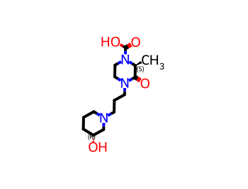 C[C@H]1C(=O)N(CCCN2CCC[C@@H](O)C2)CCN1C(=O)O